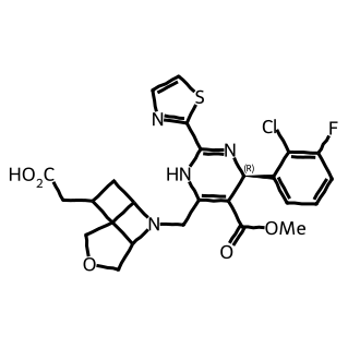 COC(=O)C1=C(CN2C3COCC34C(CC(=O)O)CC24)NC(c2nccs2)=N[C@H]1c1cccc(F)c1Cl